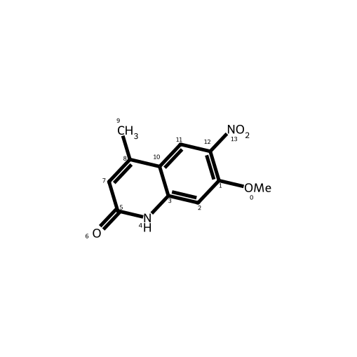 COc1cc2[nH]c(=O)cc(C)c2cc1[N+](=O)[O-]